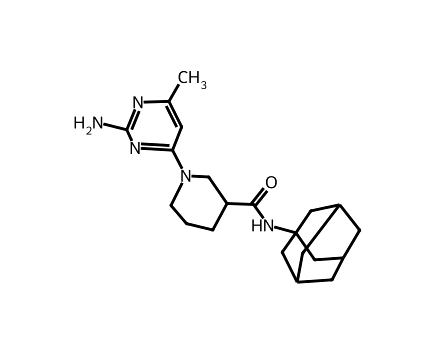 Cc1cc(N2CCCC(C(=O)NC34CC5CC(CC(C5)C3)C4)C2)nc(N)n1